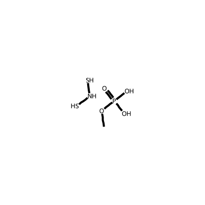 COP(=O)(O)O.SNS